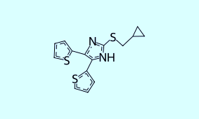 c1csc(-c2nc(SCC3CC3)[nH]c2-c2cccs2)c1